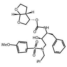 COc1ccc(S(=O)(=O)N(CC(C)C)C[C@@H](O)[C@H](Cc2ccccc2)NC(=O)O[C@@H]2CO[C@@H]3OCC[C@@H]32)cc1